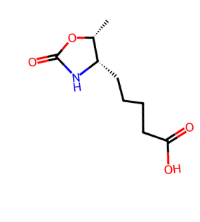 C[C@H]1OC(=O)N[C@H]1CCCCC(=O)O